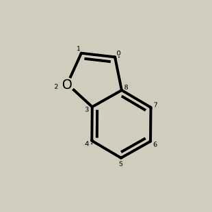 [c]1coc2[c]cccc12